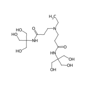 CCN(CCC(=O)NC(CO)(CO)CO)CCC(=O)NC(CO)(CO)CO